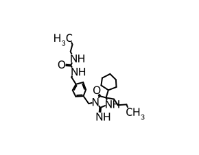 CCCCC1(C2CCCCC2)NC(=N)N(Cc2ccc(CNC(=O)NCCC)cc2)C1=O